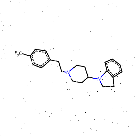 FC(F)(F)c1ccc(CCN2CCC(N3CCc4ccccc43)CC2)cc1